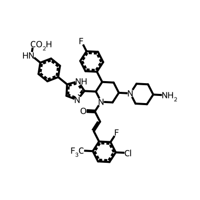 NC1CCN(C2CC(c3ccc(F)cc3)C(c3ncc(-c4ccc(NC(=O)O)cc4)[nH]3)N(C(=O)/C=C/c3c(C(F)(F)F)ccc(Cl)c3F)C2)CC1